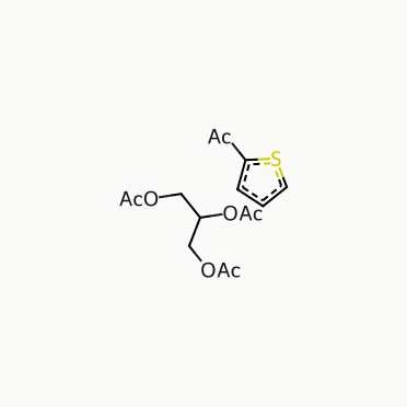 CC(=O)OCC(COC(C)=O)OC(C)=O.CC(=O)c1cccs1